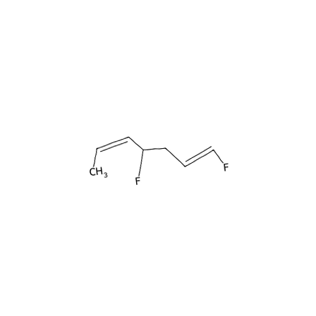 C/C=C\C(F)C/C=C/F